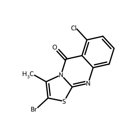 Cc1c(Br)sc2nc3cccc(Cl)c3c(=O)n12